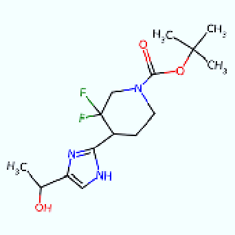 CC(O)c1c[nH]c(C2CCN(C(=O)OC(C)(C)C)CC2(F)F)n1